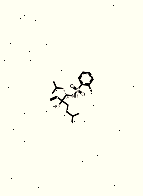 C=CC(O)(CCC(C)C)[C@H](CC(C)C)NS(=O)(=O)c1ccccc1C